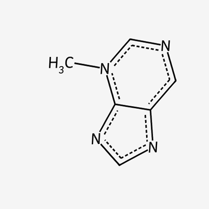 Cn1cncc2ncnc1-2